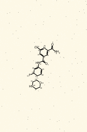 NC(=O)c1cc(C(=O)NC2=CC(F)C([C@H]3CNCCO3)C=C2)cc(Cl)n1